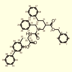 O=C(OCc1ccccc1)C(CCc1ccccc1)CN(Cc1ccccc1)C(=O)N[C@@H](Cc1ccc(-c2ccccc2)cc1)C(=O)O